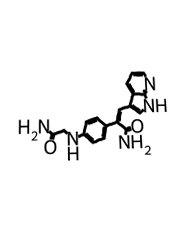 NC(=O)CNc1ccc(C(=Cc2c[nH]c3ncccc23)C(N)=O)cc1